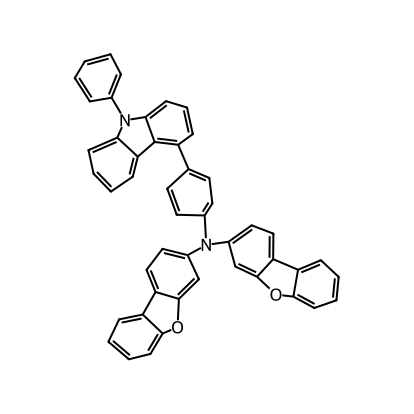 c1ccc(-n2c3ccccc3c3c(-c4ccc(N(c5ccc6c(c5)oc5ccccc56)c5ccc6c(c5)oc5ccccc56)cc4)cccc32)cc1